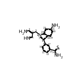 N=C/C(=C\N)Cn1cc(-c2cccc(C(N)=S)c2)c2ccc(N)cc21